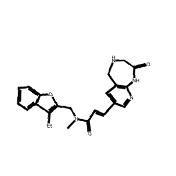 CCc1c(CN(C)C(=O)C=Cc2cnc3c(c2)CNCC(=O)N3)oc2ccccc12